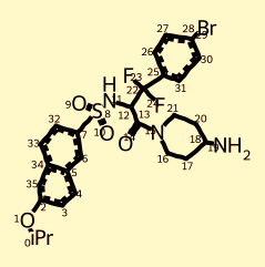 CC(C)Oc1ccc2cc(S(=O)(=O)NC(C(=O)N3CCC(N)CC3)C(F)(F)c3ccc(Br)cc3)ccc2c1